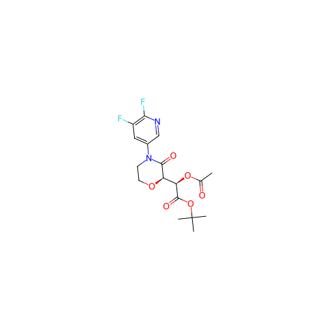 CC(=O)O[C@@H](C(=O)OC(C)(C)C)[C@H]1OCCN(c2cnc(F)c(F)c2)C1=O